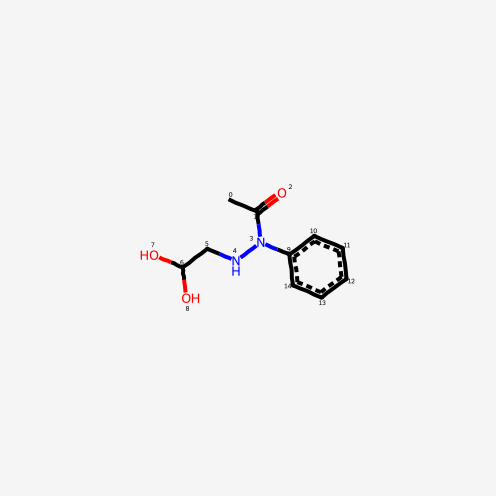 CC(=O)N(NCC(O)O)c1ccccc1